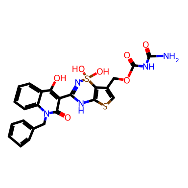 NC(=O)NC(=O)OCc1csc2c1S(O)(O)N=C(c1c(O)c3ccccc3n(Cc3ccccc3)c1=O)N2